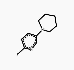 Ic1ccc(N2CCCCC2)cn1